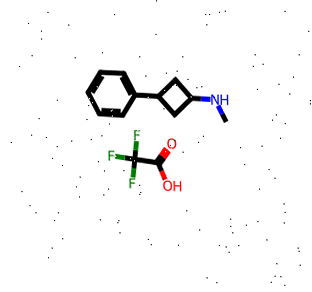 CNC1CC(c2ccccc2)C1.O=C(O)C(F)(F)F